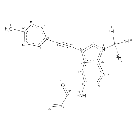 [2H]C([2H])([2H])n1cc(C#Cc2ccc(C(F)(F)F)cc2)c2cc(NC(=O)C=C)cnc21